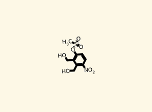 CS(=O)(=O)Oc1ccc([N+](=O)[O-])c(CO)c1CO